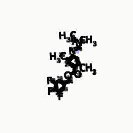 CCN(C)/C=N/c1cc(C)c(C(=O)OCc2cc(F)c(F)c(F)c2)cc1C